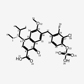 CC[C@H](C(C)C)n1cc(C(=O)O)c(=O)c2cc(Cc3ccc(OS(=O)(=O)O)c(Cl)c3F)c(OC)cc21